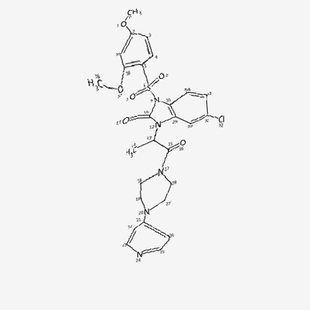 COc1ccc(S(=O)(=O)n2c(=O)n(C(C)C(=O)N3CCN(c4ccncc4)CC3)c3cc(Cl)ccc32)c(OC)c1